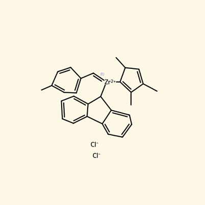 CC1=CC(C)[C](/[Zr+2](=[CH]/c2ccc(C)cc2)[CH]2c3ccccc3-c3ccccc32)=C1C.[Cl-].[Cl-]